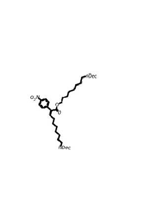 CCCCCCCCCCCCCCCCCCOC(=O)C(CCCCCCCCCCCCCCCCCC)c1ccc([N+](=O)[O-])cc1